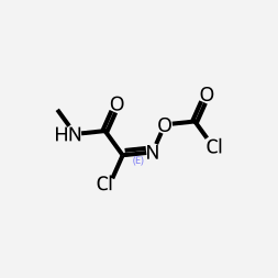 CNC(=O)/C(Cl)=N\OC(=O)Cl